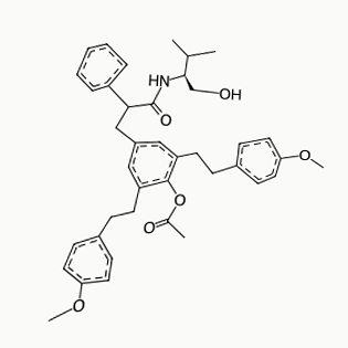 COc1ccc(CCc2cc(CC(C(=O)N[C@H](CO)C(C)C)c3ccccc3)cc(CCc3ccc(OC)cc3)c2OC(C)=O)cc1